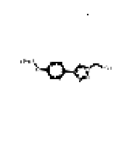 CCCCCOc1ccc(-c2cn(CC(C)(C)C)nn2)cc1